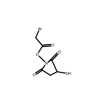 O=C(CBr)ON1C(=O)CC(O)C1=O